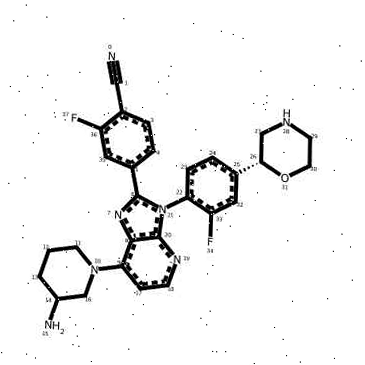 N#Cc1ccc(-c2nc3c(N4CCCC(N)C4)ccnc3n2-c2ccc([C@@H]3CNCCO3)cc2F)cc1F